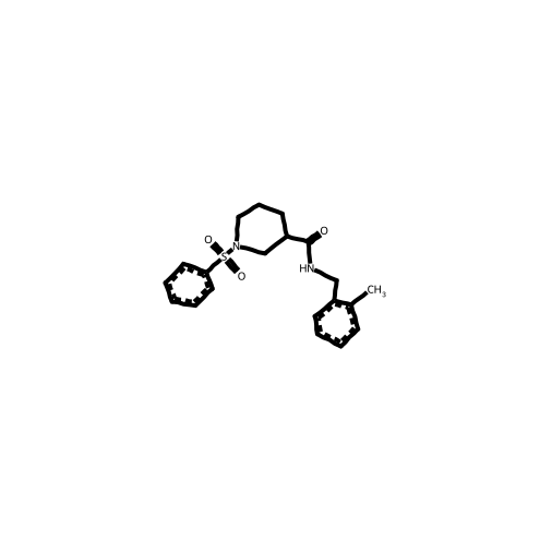 Cc1ccccc1CNC(=O)C1CCCN(S(=O)(=O)c2ccccc2)C1